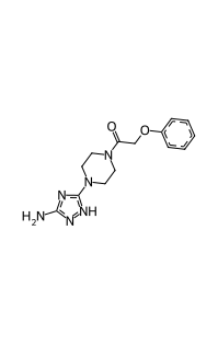 Nc1n[nH]c(N2CCN(C(=O)COc3ccccc3)CC2)n1